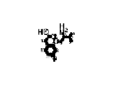 CC(C)C(N)COc1cc(F)ccc1CC(=O)O